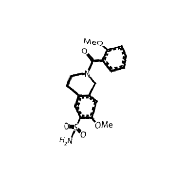 COc1ccccc1C(=O)N1CCc2cc(S(N)(=O)=O)c(OC)cc2C1